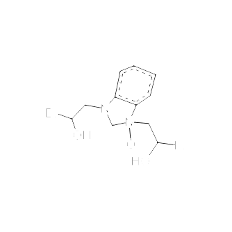 CCC(O)CN1C[N+]([O-])(CC(O)CC)c2ccccc21